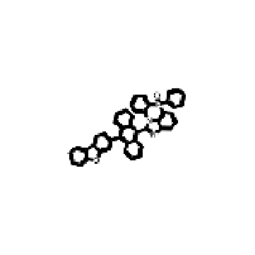 O=P1(c2ccccc2)c2ccccc2-n2c(-c3c4ccccc4c(-c4ccc5c(c4)oc4ccccc45)c4ccccc34)nc3cccc1c32